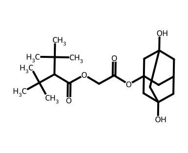 CC(C)(C)C(C(=O)OCC(=O)OC12CC3CC(O)(CC(O)(C3)C1)C2)C(C)(C)C